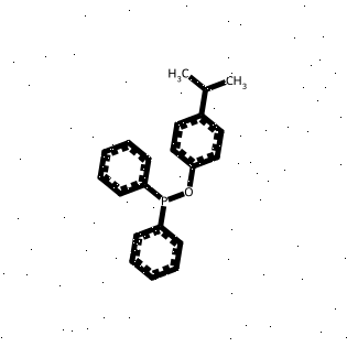 CC(C)c1ccc(OP(c2ccccc2)c2ccccc2)cc1